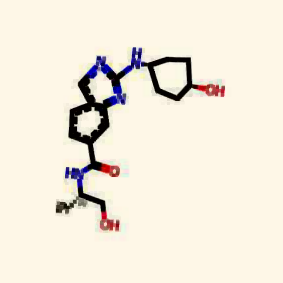 CC(C)[C@@H](CO)NC(=O)c1ccc2cnc(N[C@H]3CC[C@H](O)CC3)nc2c1